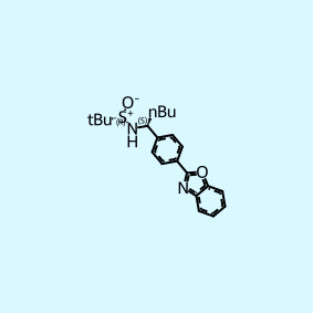 CCCC[C@H](N[S@@+]([O-])C(C)(C)C)c1ccc(-c2nc3ccccc3o2)cc1